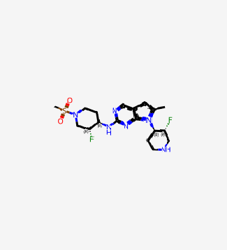 Cc1cc2cnc(N[C@@H]3CCN(S(C)(=O)=O)C[C@H]3F)nc2n1[C@@H]1CCNC[C@H]1F